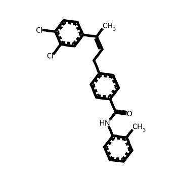 CC(=CCc1ccc(C(=O)Nc2ccccc2C)cc1)c1ccc(Cl)c(Cl)c1